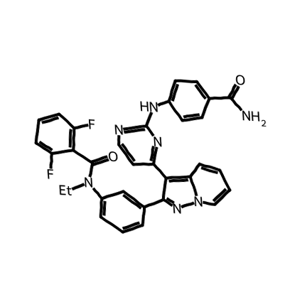 CCN(C(=O)c1c(F)cccc1F)c1cccc(-c2nn3ccccc3c2-c2ccnc(Nc3ccc(C(N)=O)cc3)n2)c1